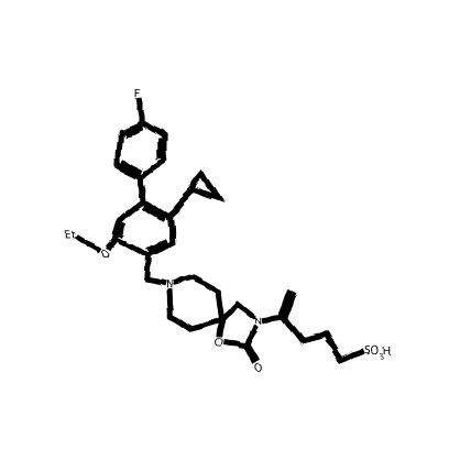 C=C(CCCS(=O)(=O)O)N1CC2(CCN(Cc3cc(C4CC4)c(-c4ccc(F)cc4)cc3OCC)CC2)OC1=O